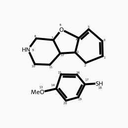 C1=CCC2C(=C1)OC1CNCCC12.COc1ccc(S)cc1